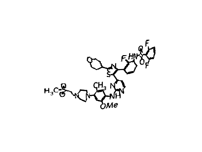 COc1cc(N2CCN(CCS(C)(=O)=O)CC2)c(C)cc1Nc1nccc(-c2sc(C3CCOCC3)nc2C2=C(F)C(NS(=O)(=O)c3c(F)cccc3F)CC=C2)n1